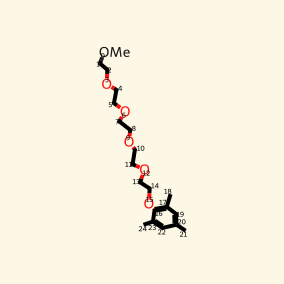 COCCOCCOCCOCCOCCOc1c(C)cc(C)cc1C